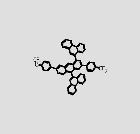 FC(F)(F)Oc1ccc(-c2ccc3c(-c4cc5ccccc5c5ccccc45)c4cc(-c5ccc(C(F)(F)F)cc5)cc(-c5cc6ccccc6c6ccccc56)c4cc3c2)cc1